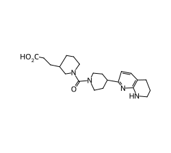 O=C(O)CCC1CCCN(C(=O)N2CCC(c3ccc4c(n3)NCCC4)CC2)C1